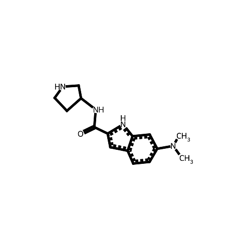 CN(C)c1ccc2cc(C(=O)NC3CCNC3)[nH]c2c1